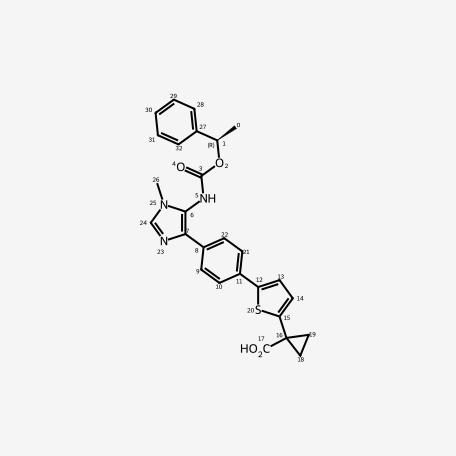 C[C@@H](OC(=O)Nc1c(-c2ccc(-c3ccc(C4(C(=O)O)CC4)s3)cc2)ncn1C)c1ccccc1